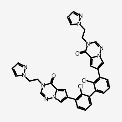 O=c1c2cc(-c3cccc(-c4cccc(-c5cc6c(=O)n(CCn7cccn7)cnn6c5)c4Cl)c3Cl)cn2ncn1CCn1cccn1